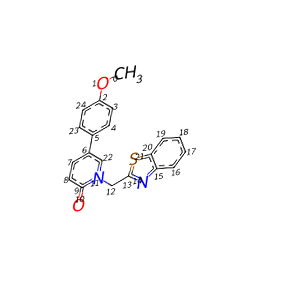 COc1ccc(-c2ccc(=O)n(Cc3nc4ccccc4s3)c2)cc1